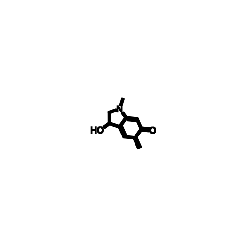 C=C1C=C2C(=CC1=O)N(C)CC2O